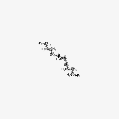 CC(=CCOC(=O)CCCCCC(=O)OCC(CO)COC(=O)CCCCCC(=O)OCC=C(C)CCCC(C)CCCC(C)CCCC(C)C)CCCC(C)CCCC(C)CCCC(C)C